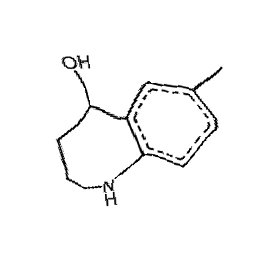 Cc1ccc2c(c1)C(O)CCN2